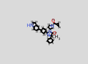 CC1(c2ccccc2)N=C(c2ccc(-c3ccc4[nH]ccc4c3)cc2)N([C@@H]2CCN(C(=O)C3CC3)C2)C1=O